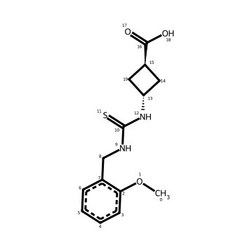 COc1ccccc1CNC(=S)N[C@H]1C[C@H](C(=O)O)C1